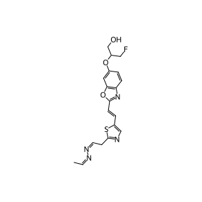 C/C=N\N=C/Cc1ncc(/C=C/c2nc3ccc(OC(CO)CF)cc3o2)s1